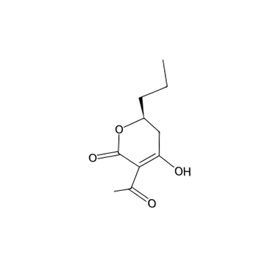 CCC[C@H]1CC(O)=C(C(C)=O)C(=O)O1